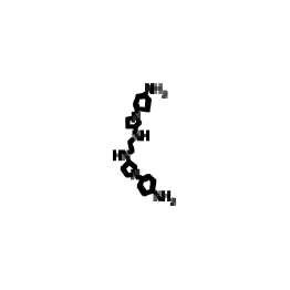 Nc1ccc(N2CCC(NCCNC3CCN(c4ccc(N)cc4)C3)C2)cc1